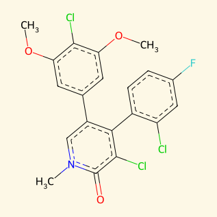 COc1cc(-c2cn(C)c(=O)c(Cl)c2-c2ccc(F)cc2Cl)cc(OC)c1Cl